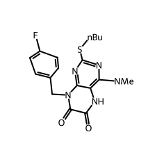 CCCCSc1nc(NC)c2[nH]c(=O)c(=O)n(Cc3ccc(F)cc3)c2n1